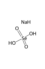 O=[Se](=O)(O)O.[NaH]